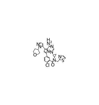 Nc1ncnn2c(-c3ccc(Cl)c(C(=O)N(Cc4nccs4)C4CC4)c3)cc(-c3ccnn3C3CCOCC3)c12